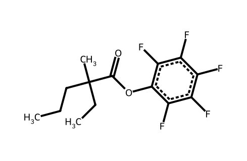 CCCC(C)(CC)C(=O)Oc1c(F)c(F)c(F)c(F)c1F